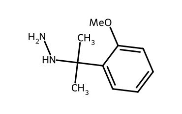 COc1ccccc1C(C)(C)NN